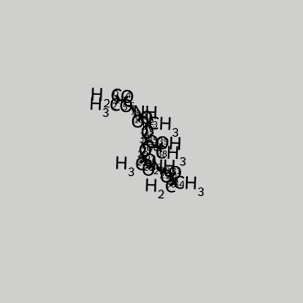 C=C(C)C(=O)OCCNC(=O)OC(C)COCC(COCC(C)OC(=O)NCCOC(=O)C(=C)C)OCC(C)O